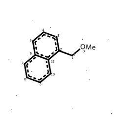 CO[CH]c1cccc2ccccc12